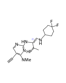 C#Cc1cnc(N/C(=C/NC2CCC(F)(F)CC2)C(C)=P)nc1NC